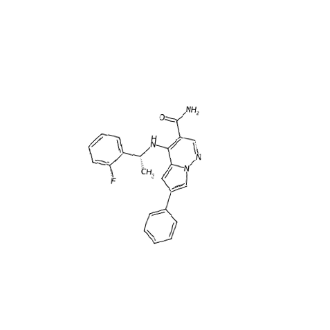 C[C@@H](Nc1c(C(N)=O)cnn2cc(-c3ccccc3)cc12)c1ccccc1F